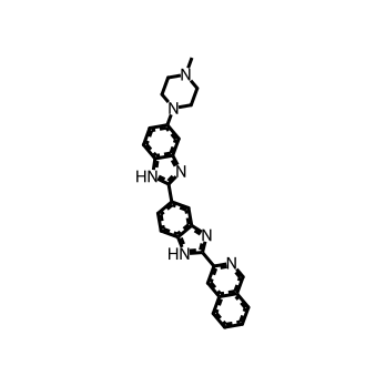 CN1CCN(c2ccc3[nH]c(-c4ccc5[nH]c(-c6cc7ccccc7cn6)nc5c4)nc3c2)CC1